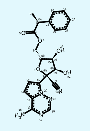 C[C@H](C(=O)OC[C@H]1O[C@@](C#N)(c2ccc3c(N)ncnn23)[C@H](O)[C@@H]1O)c1ccccc1